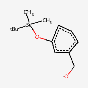 CC(C)(C)[Si](C)(C)Oc1cccc(C[O])c1